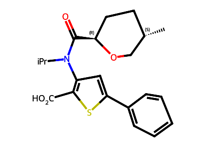 CC(C)N(C(=O)[C@H]1CC[C@H](C)CO1)c1cc(-c2ccccc2)sc1C(=O)O